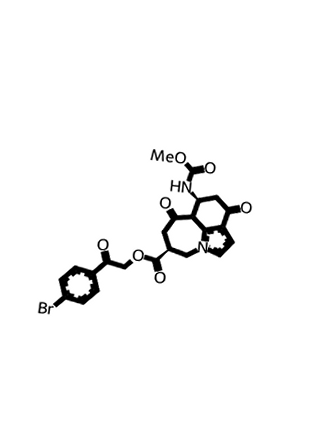 COC(=O)N[C@H]1CC(=O)c2ccn3c2C1C(=O)C[C@H](C(=O)OCC(=O)c1ccc(Br)cc1)C3